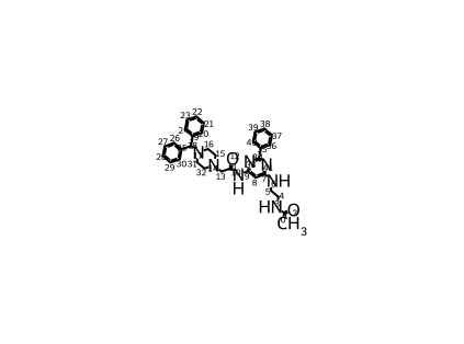 CC(=O)NCCNc1cc(NC(=O)CN2CCN(C(c3ccccc3)c3ccccc3)CC2)nc(-c2ccccc2)n1